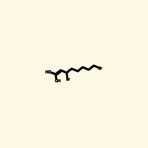 OC(O)=CC(Br)CCCCCBr